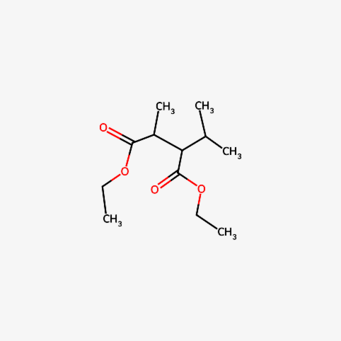 CCOC(=O)C(C)C(C(=O)OCC)C(C)C